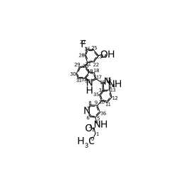 CCC(=O)Nc1cncc(-c2ccc3[nH]nc(-c4cc5c(-c6cc(O)cc(F)c6)cccc5[nH]4)c3c2)c1